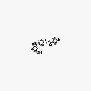 O=C(CCCN1CCN(c2noc3ccc(O)cc23)CC1)c1ccc(F)cc1